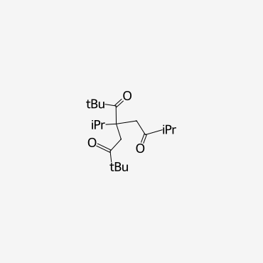 CC(C)C(=O)CC(CC(=O)C(C)(C)C)(C(=O)C(C)(C)C)C(C)C